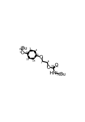 CCC(C)Oc1ccc(OCCOC(=O)NC(C)(C)C)cc1